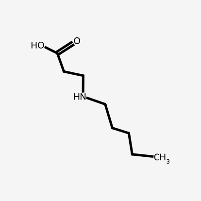 CCCCCNCCC(=O)O